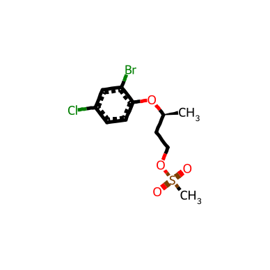 C[C@@H](CCOS(C)(=O)=O)Oc1ccc(Cl)cc1Br